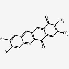 O=C1C2=Cc3cc4cc(Br)c(Br)cc4cc3C(=O)C2=CC(C(F)(F)F)=C1C(F)(F)F